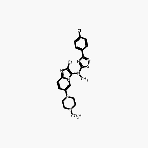 CCc1nc2ccc(N3CCN(C(=O)O)CC3)cn2c1N(C)c1nc(-c2ccc(Cl)cc2)ns1